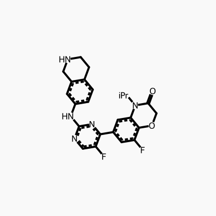 CC(C)N1C(=O)COc2c(F)cc(-c3nc(Nc4ccc5c(c4)CNCC5)ncc3F)cc21